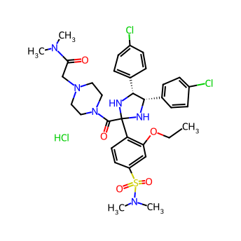 CCOc1cc(S(=O)(=O)N(C)C)ccc1C1(C(=O)N2CCN(CC(=O)N(C)C)CC2)N[C@H](c2ccc(Cl)cc2)[C@H](c2ccc(Cl)cc2)N1.Cl